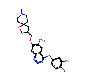 CN1CCC2(CC1)CC(COc1cc3ncnc(Nc4ccc(F)c(Cl)c4)c3cc1[N+](=O)[O-])CO2